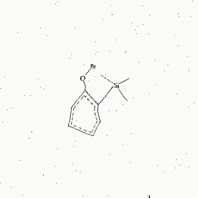 C[Si](C)(C)c1ccccc1OBr